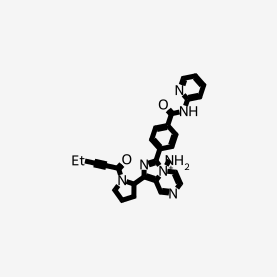 CCC#CC(=O)N1CCCC1C1=C2C=NC=C[N+]2(N)C(c2ccc(C(=O)Nc3ccccn3)cc2)=N1